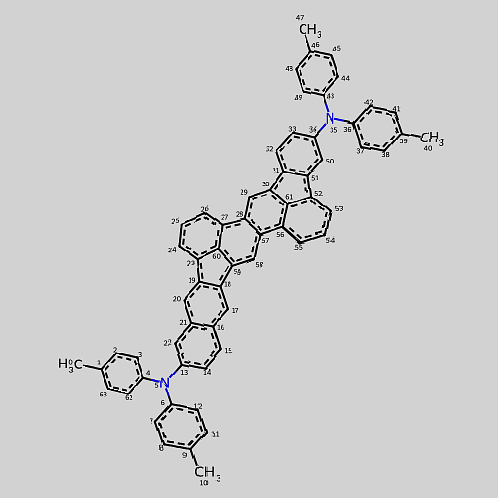 Cc1ccc(N(c2ccc(C)cc2)c2ccc3cc4c(cc3c2)c2cccc3c5cc6c7ccc(N(c8ccc(C)cc8)c8ccc(C)cc8)cc7c7cccc(c5cc4c23)c76)cc1